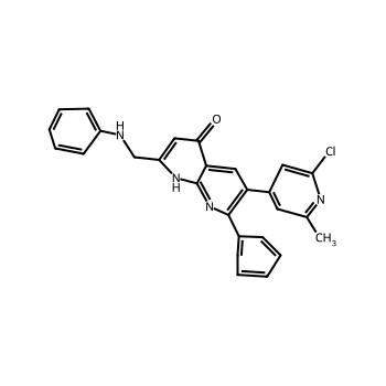 Cc1cc(-c2cc3c(=O)cc(CNc4ccccc4)[nH]c3nc2-c2ccccc2)cc(Cl)n1